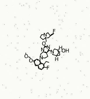 CCc1c(F)ccc2cc(OCOC)cc(N3CCc4c(nc(OCC56CCCN5C/C(=C\F)C6)nc4N4C[C@@H]5C[C@H](C4)[C@H](O)C5)C3)c12